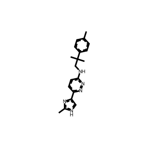 Cc1ccc(C(C)(C)CNc2ccc(-c3c[nH]c(C)n3)nn2)cc1